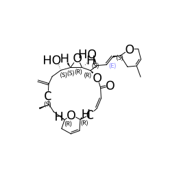 C=C1C[C@H](C)C[C@@H]2CC=C[C@@H](CC=CC(=O)O[C@H]([C@@H](O)/C=C/[C@@H]3CC(C)=CCO3)[C@@H]3O[C@H]3[C@@H](O)C1)O2